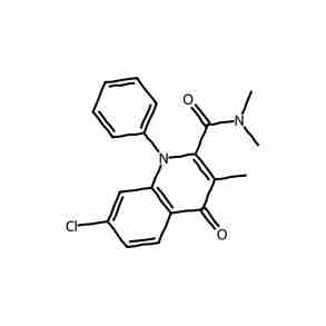 Cc1c(C(=O)N(C)C)n(-c2ccccc2)c2cc(Cl)ccc2c1=O